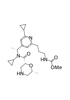 COC(=O)NCCCc1cc([C@@H](C)N(C(=O)[C@H]2CNC[C@@H](C)O2)C2CC2)cc(C2CC2)n1